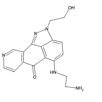 NCCNc1ccc2c3c(nn2CCO)-c2cnccc2C(=O)c13